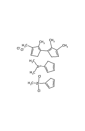 CC1=CCC(C2=C(C)C(C)=CC2)=C1C.[CH3][Zr+2]([CH3])[C]1=CC=CC1.[CH3][Zr]([Cl])([Cl])[C]1=CC=CC1.[Cl-].[Cl-]